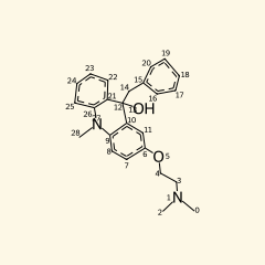 CN(C)CCOc1ccc2c(c1)C(O)(Cc1ccccc1)c1ccccc1N2C